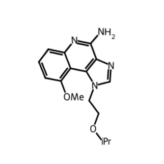 COc1cccc2nc(N)c3ncn(CCOC(C)C)c3c12